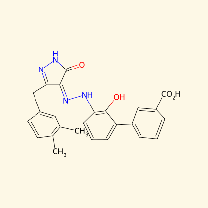 Cc1ccc(CC2=NNC(=O)C2=NNc2cccc(-c3cccc(C(=O)O)c3)c2O)cc1C